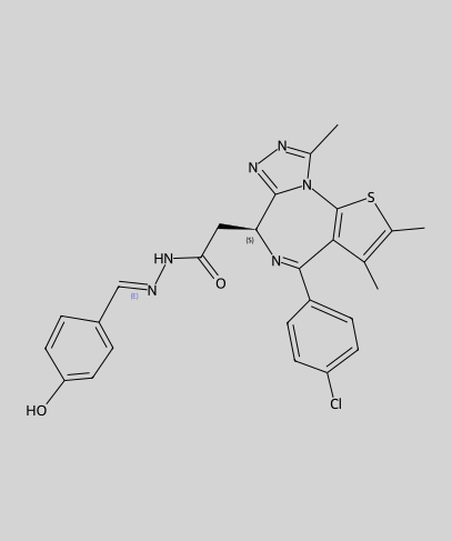 Cc1sc2c(c1C)C(c1ccc(Cl)cc1)=N[C@@H](CC(=O)N/N=C/c1ccc(O)cc1)c1nnc(C)n1-2